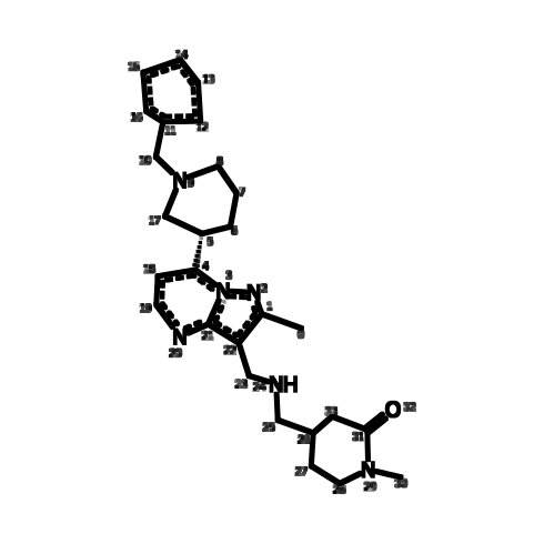 Cc1nn2c([C@H]3CCCN(Cc4ccccc4)C3)ccnc2c1CNCC1CCN(C)C(=O)C1